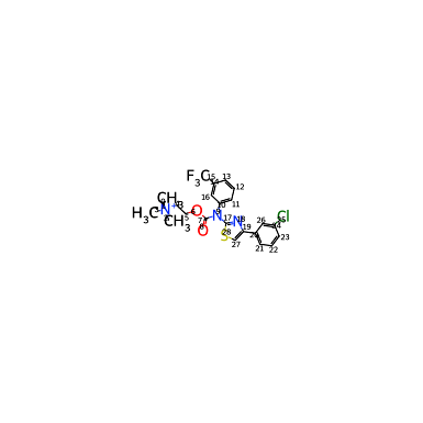 C[N+](C)(C)CCOC(=O)N(c1cccc(C(F)(F)F)c1)c1nc(-c2cccc(Cl)c2)cs1